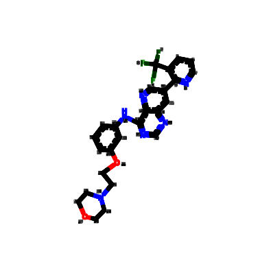 FC(F)(F)c1cccnc1-c1cnc2c(Nc3cccc(OCCN4CCOCC4)c3)ncnc2c1